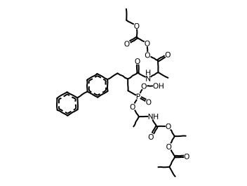 CCOC(=O)OOC(=O)C(C)NC(=O)C(Cc1ccc(-c2ccccc2)cc1)CP(=O)(OO)OC(C)NC(=O)OC(C)OC(=O)C(C)C